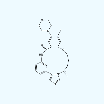 C[C@H]1CCCOc2cc(F)c(N3CCOCC3)cc2C(=O)Nc2cccc(n2)-c2nncn21